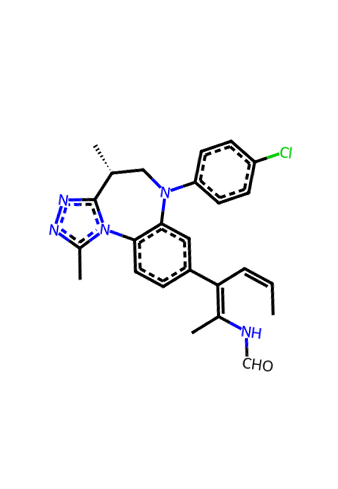 C/C=C\C(=C(\C)NC=O)c1ccc2c(c1)N(c1ccc(Cl)cc1)C[C@@H](C)c1nnc(C)n1-2